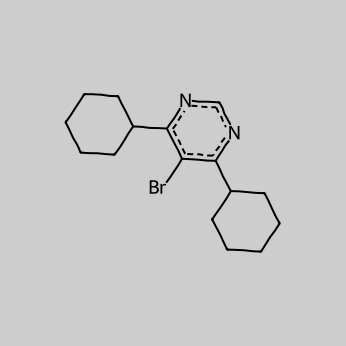 Brc1c(C2CCCCC2)ncnc1C1CCCCC1